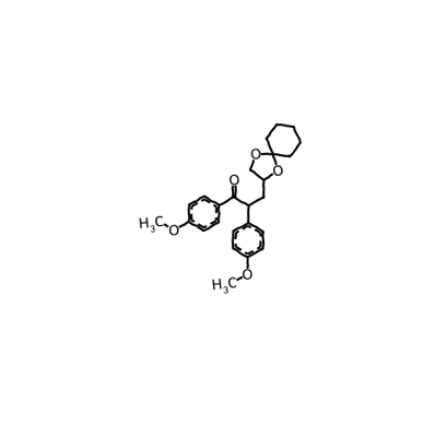 COc1ccc(C(=O)C(CC2COC3(CCCCC3)O2)c2ccc(OC)cc2)cc1